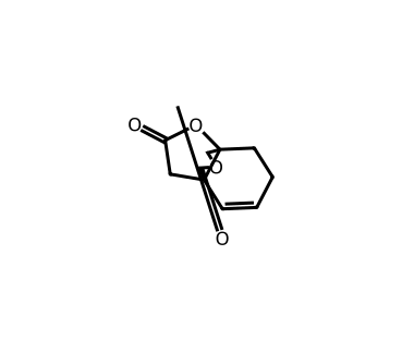 O=C1CC23C=CCCC2(COC3=O)O1